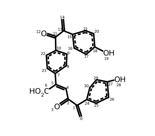 C=C(C(=O)C=C(C(=O)O)c1ccc(C(=O)C(=C)c2ccc(O)cc2)cc1)c1ccc(O)cc1